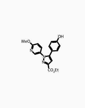 CCOC(=O)c1cc(-c2ccc(O)cc2)n(-c2ccc(OC)nc2)n1